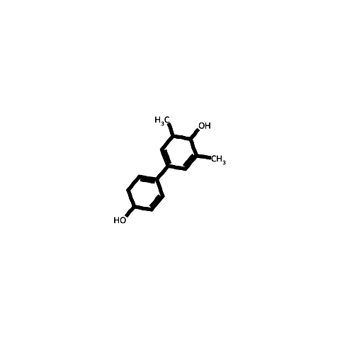 CC1=CC(C2=CCC(O)C=C2)=CC(C)C1O